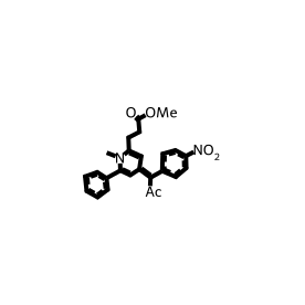 COC(=O)CCC1=C/C(=C(/C(C)=O)c2ccc([N+](=O)[O-])cc2)C=C(c2ccccc2)N1C